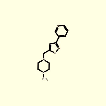 NN1CCN(Cc2cc(-c3cccnc3)no2)CC1